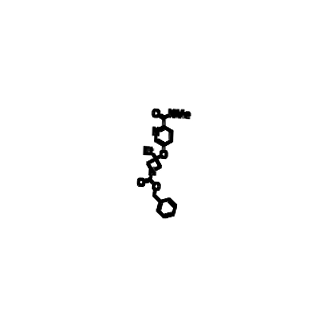 CCC1(Oc2ccc(C(=O)NC)nc2)CN(C(=O)OCc2ccccc2)C1